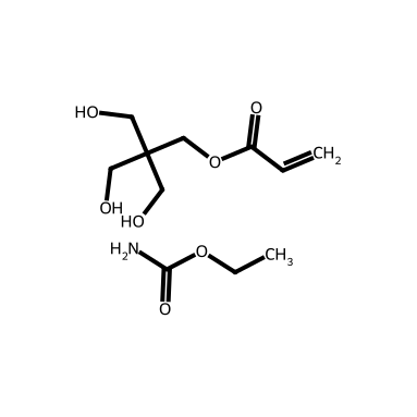 C=CC(=O)OCC(CO)(CO)CO.CCOC(N)=O